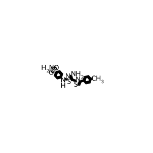 Cc1ccc(-c2csc(-c3sc(Nc4ccc(S(N)(=O)=O)cc4)nc3N)n2)cc1